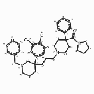 O=C(N1CCCC1)C1(c2ccccc2)CCN(CCCC2(c3ccc(Cl)c(Cl)c3)CCCN(Cc3ccncc3)C2)CC1